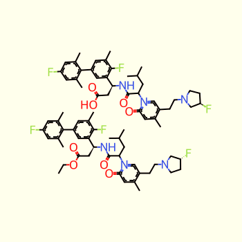 CCOC(=O)C[C@H](NC(=O)C(CC(C)C)n1cc(CCN2CC[C@@H](F)C2)c(C)cc1=O)c1cc(-c2c(C)cc(F)cc2C)cc(C)c1F.Cc1cc(=O)n(C(CC(C)C)C(=O)N[C@@H](CC(=O)O)c2cc(-c3c(C)cc(F)cc3C)cc(C)c2F)cc1CCN1CC[C@@H](F)C1